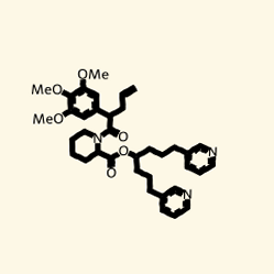 C=CCC(C(=O)N1CCCCC1C(=O)OC(CCCc1cccnc1)CCCc1cccnc1)c1cc(OC)c(OC)c(OC)c1